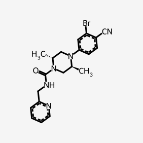 C[C@@H]1CN(c2ccc(C#N)c(Br)c2)[C@@H](C)CN1C(=O)NCc1ccccn1